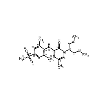 COCC(COC)n1cc(C)nc(Nc2c(C)cc(S(C)(=O)=O)cc2C)c1=O